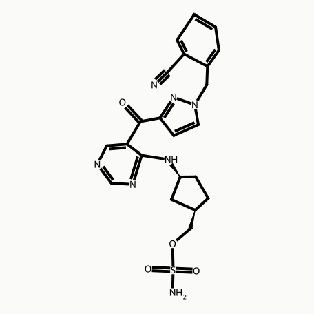 N#Cc1ccccc1Cn1ccc(C(=O)c2cncnc2N[C@H]2CC[C@@H](COS(N)(=O)=O)C2)n1